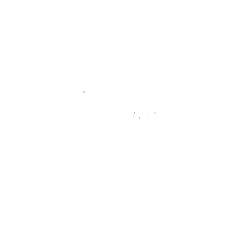 CC(=O)N[C@H]1C[C@@H](CO)C(O)C1O